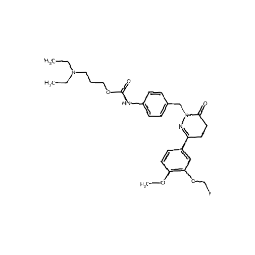 CCN(CC)CCCOC(=O)Nc1ccc(CN2N=C(c3ccc(OC)c(OCF)c3)CCC2=O)cc1